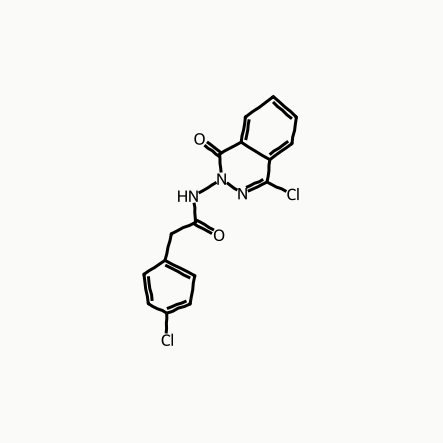 O=C(Cc1ccc(Cl)cc1)Nn1nc(Cl)c2ccccc2c1=O